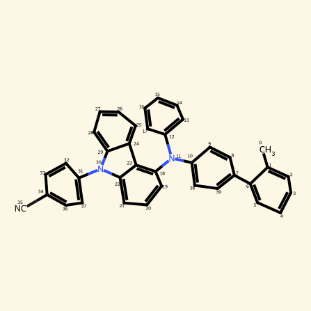 Cc1ccccc1-c1ccc(N(c2ccccc2)c2cccc3c2c2ccccc2n3-c2ccc(C#N)cc2)cc1